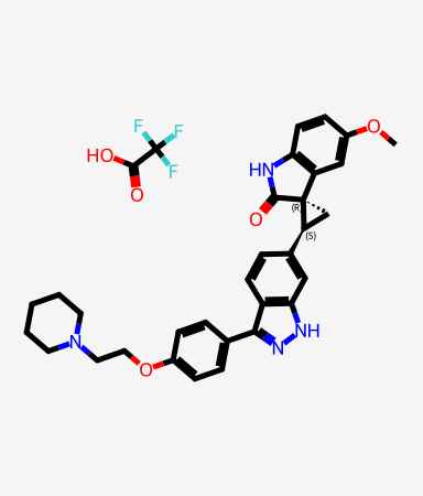 COc1ccc2c(c1)[C@]1(C[C@H]1c1ccc3c(-c4ccc(OCCN5CCCCC5)cc4)n[nH]c3c1)C(=O)N2.O=C(O)C(F)(F)F